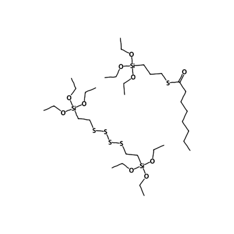 CCCCCCCC(=O)SCCC[Si](OCC)(OCC)OCC.CCO[Si](CCSSSSCC[Si](OCC)(OCC)OCC)(OCC)OCC